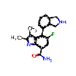 Cc1[nH]c2c(C(N)=O)cc(F)c(-c3cccc4c3CNC4)c2c1C